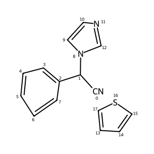 N#CC(c1ccccc1)n1ccnc1.c1ccsc1